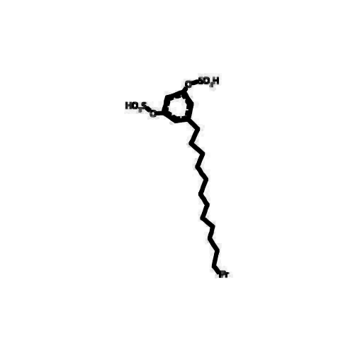 CC(C)CCCCCCCCCCCCc1cc(OS(=O)(=O)O)cc(OS(=O)(=O)O)c1